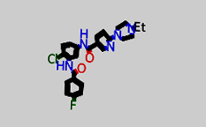 CCN1CCN(c2ccc(C(=O)Nc3ccc(Cl)c(NC(=O)c4ccc(F)cc4)c3)cn2)CC1